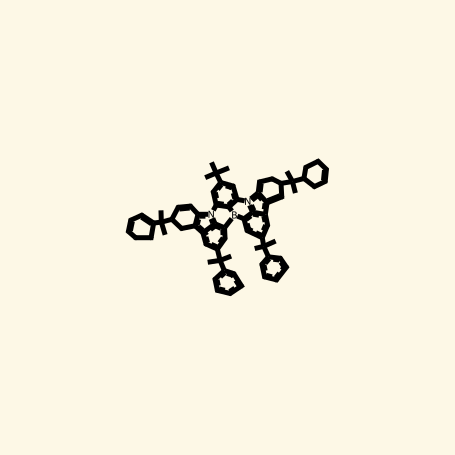 CC(C)(C)c1cc2c3c(c1)-n1c4c(c5cc(C(C)(C)c6ccccc6)cc(c51)B3c1cc(C(C)(C)c3ccccc3)cc3c5c(n-2c13)C=CC(C(C)(C)C1=CC=CCC1)C5)=CC(C(C)(C)C1CC=CCC1)CC=4